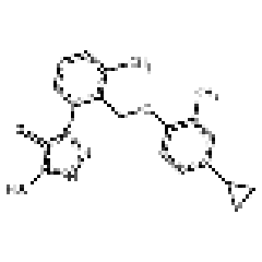 Cc1cc(C2CC2)ccc1OCc1c(C)cccc1-n1nnn(C)c1=O